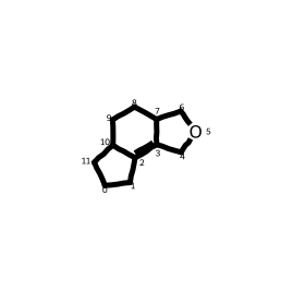 C1CC2=C3COCC3CCC2C1